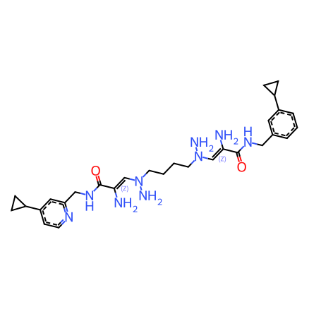 N/C(=C\N(N)CCCCN(N)/C=C(\N)C(=O)NCc1cc(C2CC2)ccn1)C(=O)NCc1cccc(C2CC2)c1